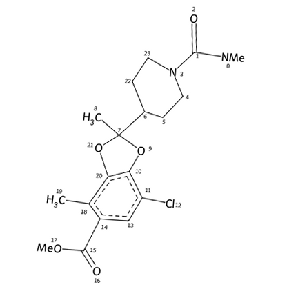 CNC(=O)N1CCC(C2(C)Oc3c(Cl)cc(C(=O)OC)c(C)c3O2)CC1